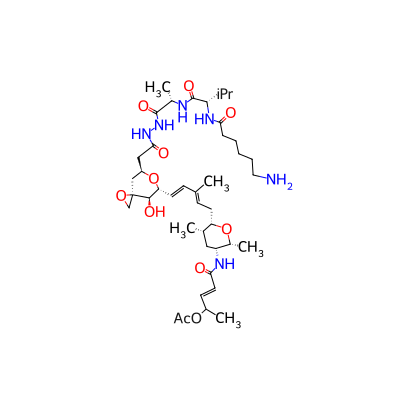 CC(=O)OC(C)C=CC(=O)N[C@@H]1C[C@H](C)[C@H](CC=C(C)C=C[C@H]2O[C@H](CC(=O)NNC(=O)[C@H](C)NC(=O)[C@@H](NC(=O)CCCCCN)C(C)C)C[C@@]3(CO3)[C@@H]2O)O[C@@H]1C